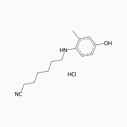 Cc1cc(O)ccc1NCCCCCCC#N.Cl